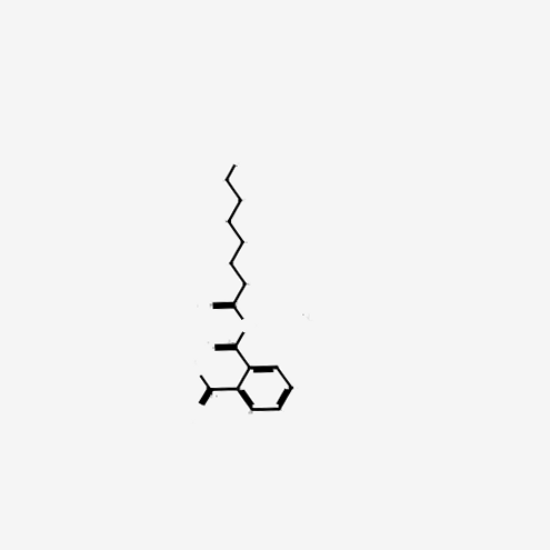 CCCCCCCC(=O)OC(=O)c1ccccc1C(=O)[O-].[Na+]